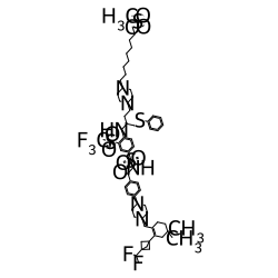 CC1(C)CCC(CN2CCN(c3ccc(C(=O)NS(=O)(=O)c4ccc(NC(CCN5CCN(CCCCCCCCOS(C)(=O)=O)CC5)CSc5ccccc5)c(S(=O)(=O)C(F)(F)F)c4)cc3)CC2)=C(C23CC(C(F)F)(C2)C3)C1